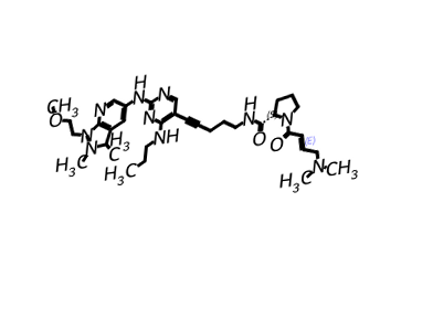 CCCNc1nc(Nc2cnc3c(c2)C(C)N(C)N3CCOC)ncc1C#CCCCNC(=O)[C@@H]1CCCN1C(=O)/C=C/CN(C)C